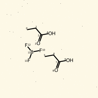 CCC(=O)O.CCC(=O)O.FB(F)F